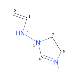 C=CNN1C=NCC1